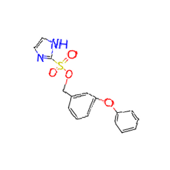 O=S(=O)(OCc1cccc(Oc2ccccc2)c1)c1ncc[nH]1